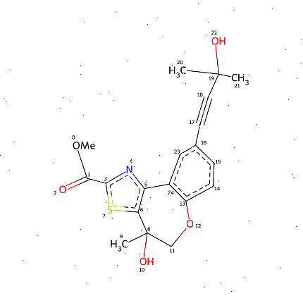 COC(=O)c1nc2c(s1)C(C)(O)COc1ccc(C#CC(C)(C)O)cc1-2